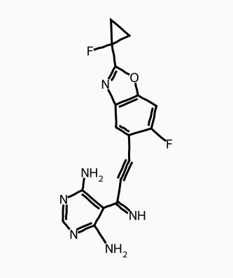 N=C(C#Cc1cc2nc(C3(F)CC3)oc2cc1F)c1c(N)ncnc1N